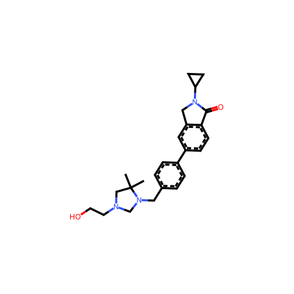 CC1(C)CN(CCO)CN1Cc1ccc(-c2ccc3c(c2)CN(C2CC2)C3=O)cc1